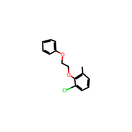 Cc1cccc(Cl)c1OCCOc1ccccc1